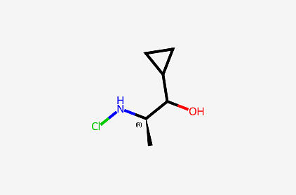 C[C@@H](NCl)C(O)C1CC1